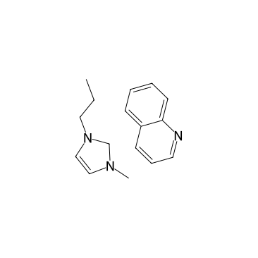 CCCN1C=CN(C)C1.c1ccc2ncccc2c1